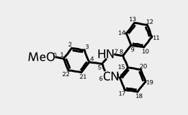 COc1ccc(C(C#N)NC(c2ccccc2)c2ccccc2)cc1